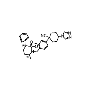 C[C@H]1CC[C@H](c2ccccc2)S(=O)(=O)N1Cc1ccc(C2(C#N)CCC(n3cnnc3)CC2)cc1F